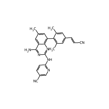 Cc1cc(-c2c(C)cc(C=CC#N)cc2C)c2nc(Nc3ccc(C#N)cn3)nc(N)c2c1